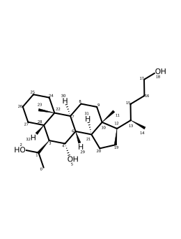 CC(O)[C@@H]1[C@@H](O)[C@@H]2[C@H](CC[C@]3(C)[C@@H]([C@H](C)CCCO)CC[C@@H]23)[C@@]2(C)CCCC[C@@H]12